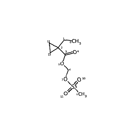 CCC1(C(=O)OCOS(C)(=O)=O)CC1